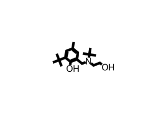 Cc1cc(CN(CCO)C(C)(C)C)c(O)c(C(C)(C)C)c1